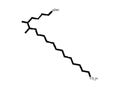 CCCCCCCCCCCCCCC(C)C(C)CCCCCCCCCCCCCC(=O)O